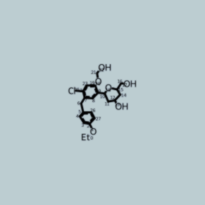 CCOc1ccc(Cc2cc(C3CC(O)CC(CO)O3)c(OCO)cc2Cl)cc1